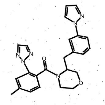 Cc1ccc(C(=O)N2CCOCC2Cc2cccc(-n3cccn3)c2)c(-n2nccn2)c1